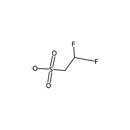 [O]S(=O)(=O)CC(F)F